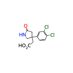 O=C(O)CC1(c2ccc(Cl)c(Cl)c2)CNC(=O)C1